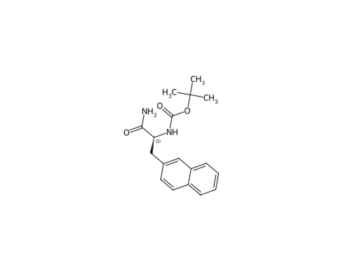 CC(C)(C)OC(=O)N[C@@H](Cc1ccc2ccccc2c1)C(N)=O